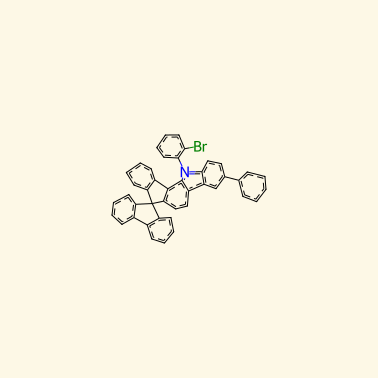 Brc1ccccc1-n1c2ccc(-c3ccccc3)cc2c2ccc3c(c21)-c1ccccc1C31c2ccccc2-c2ccccc21